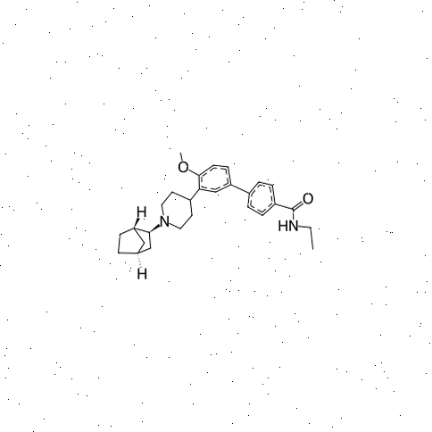 CCNC(=O)c1ccc(-c2ccc(OC)c(C3CCN([C@H]4C[C@H]5CC[C@H]4C5)CC3)c2)cc1